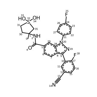 CC1(NC(=O)c2ccc3c(-c4cc(C#N)ccc4F)nn(-c4ccc(F)cc4)c3c2)CCS(O)(O)C1